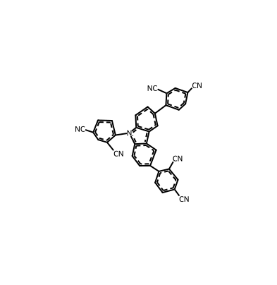 N#Cc1ccc(-c2ccc3c(c2)c2cc(-c4ccc(C#N)cc4C#N)ccc2n3-c2ccc(C#N)cc2C#N)c(C#N)c1